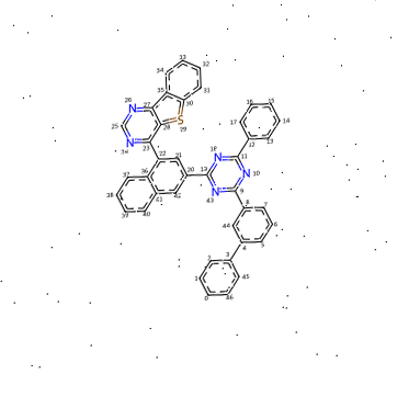 c1ccc(-c2cccc(-c3nc(-c4ccccc4)nc(-c4cc(-c5ncnc6c5sc5ccccc56)c5ccccc5c4)n3)c2)cc1